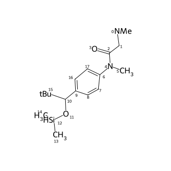 CNCC(=O)N(C)c1ccc(C(O[SiH](C)C)C(C)(C)C)cc1